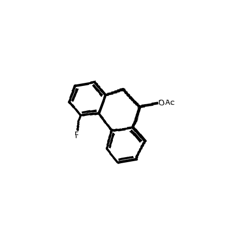 CC(=O)OC1Cc2cccc(F)c2-c2ccccc21